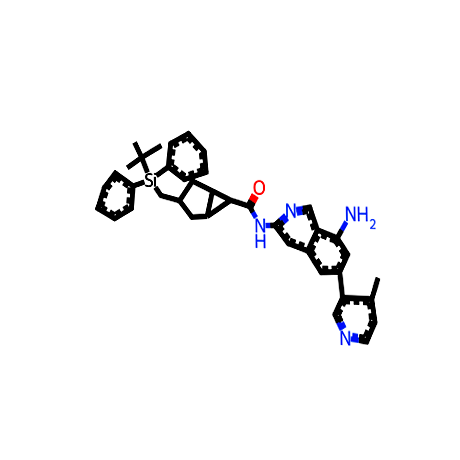 Cc1ccncc1-c1cc(N)c2cnc(NC(=O)C3C4CC(C[Si](c5ccccc5)(c5ccccc5)C(C)(C)C)CC43)cc2c1